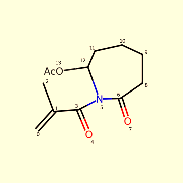 C=C(C)C(=O)N1C(=O)CCCCC1OC(C)=O